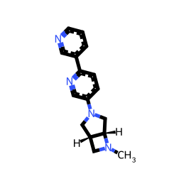 CN1C[C@@H]2CN(c3ccc(-c4cccnc4)nc3)C[C@@H]21